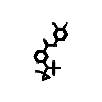 CS(=O)(=O)N(c1cc(C(=O)Nc2ccc(F)c(Cl)c2)ccn1)C1(C#N)CC1